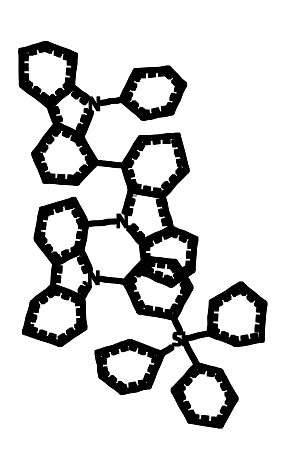 c1ccc(-n2c3ccccc3c3cccc(-c4cccc5c6ccccc6n(-c6cccc7c8ccccc8n(-c8cccc([Si](c9ccccc9)(c9ccccc9)c9ccccc9)c8)c67)c45)c32)cc1